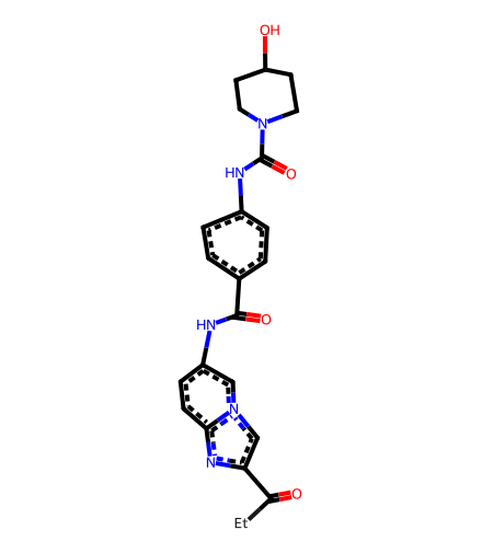 CCC(=O)c1cn2cc(NC(=O)c3ccc(NC(=O)N4CCC(O)CC4)cc3)ccc2n1